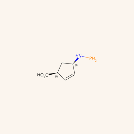 O=C(O)[C@@H]1C=C[C@H](NP)C1